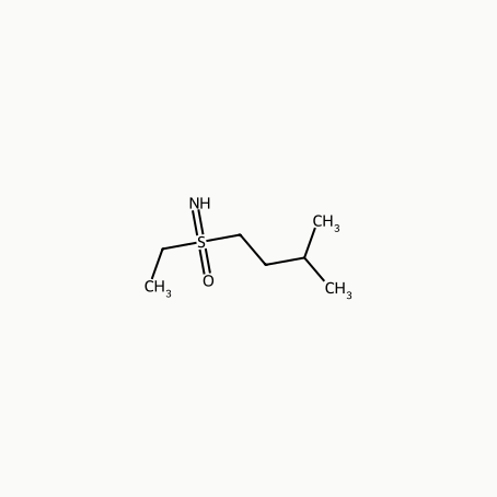 CCS(=N)(=O)CCC(C)C